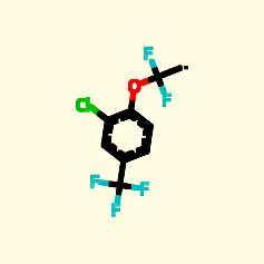 [CH2]C(F)(F)Oc1ccc(C(F)(F)F)cc1Cl